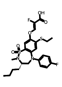 CCCC[C@H]1CN(c2ccc(F)cc2)c2cc(SCC)c(O/C=C(\F)C(=O)O)cc2S(=O)(=O)N1C